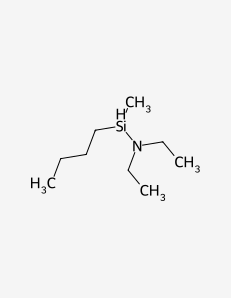 CCCC[SiH](C)N(CC)CC